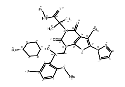 CCCCOc1ccc(F)cc1[C@H](Cn1c(=O)n(C(C)(C)C(=O)NC(C)C)c(=O)c2c(C)c(-n3nccn3)sc21)O[C@H]1CC[C@@H](O)CC1